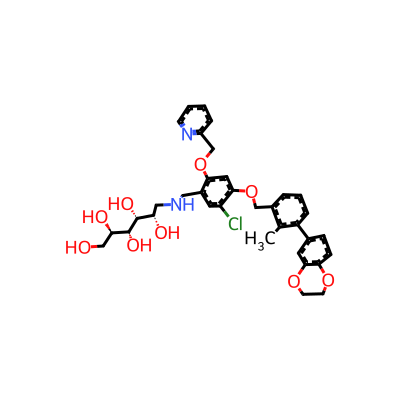 Cc1c(COc2cc(OCc3ccccn3)c(CNC[C@H](O)[C@@H](O)[C@H](O)[C@H](O)CO)cc2Cl)cccc1-c1ccc2c(c1)OCCO2